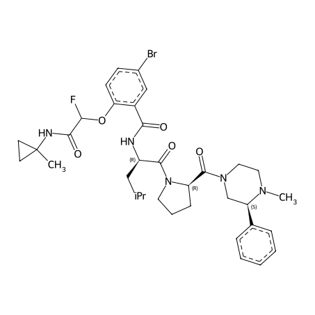 CC(C)C[C@@H](NC(=O)c1cc(Br)ccc1OC(F)C(=O)NC1(C)CC1)C(=O)N1CCC[C@@H]1C(=O)N1CCN(C)[C@@H](c2ccccc2)C1